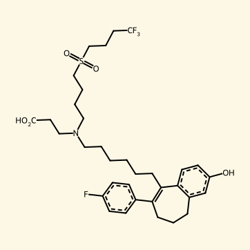 O=C(O)CCN(CCCCCCC1=C(c2ccc(F)cc2)CCCc2cc(O)ccc21)CCCCS(=O)(=O)CCCC(F)(F)F